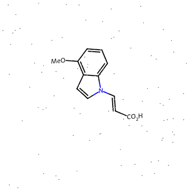 COc1cccc2c1ccn2/C=C/C(=O)O